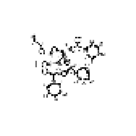 C=CCO[C@@H]1O[C@H](COC(=O)c2ccccc2)[C@@H](OC(=O)c2ccccc2)[C@H](OC(=O)c2ccccc2)[C@@H]1O